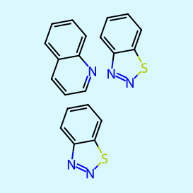 c1ccc2ncccc2c1.c1ccc2snnc2c1.c1ccc2snnc2c1